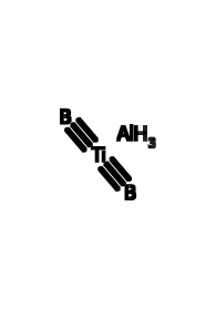 [AlH3].[B]#[Ti]#[B]